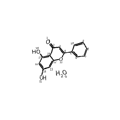 O.O=c1cc(-c2ccccc2)oc2cc(O)cc(O)c12